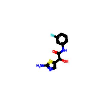 Nc1ncc(C(O)C(=O)Nc2cccc(F)c2)s1